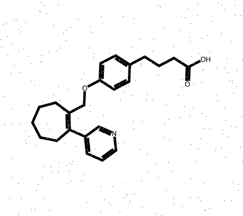 O=C(O)CCCc1ccc(OCC2=C(c3cccnc3)CCCCC2)cc1